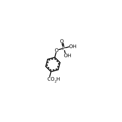 O=C(O)c1ccc(OP(=O)(O)O)cc1